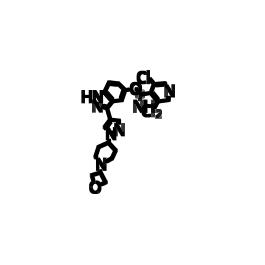 N[C@@H](Oc1ccc2[nH]nc(-c3cnn(C4CCN(C5COC5)CC4)c3)c2c1)c1c(Cl)cncc1Cl